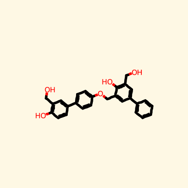 OCc1cc(-c2ccc(OCc3cc(-c4ccccc4)cc(CO)c3O)cc2)ccc1O